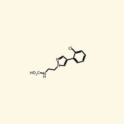 O=C(O)NCCn1cc(-c2ccccc2Cl)cn1